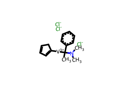 CN(C)[C](C)([V+3][C]1=CC=CC1)c1ccccc1.[Cl-].[Cl-].[Cl-]